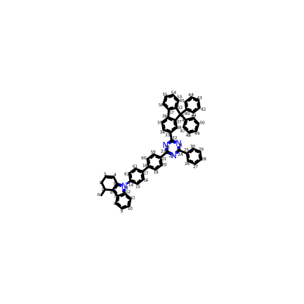 CC1CC=Cc2c1c1ccccc1n2-c1ccc(-c2ccc(-c3nc(-c4ccccc4)nc(-c4ccc5c(c4)C(c4ccccc4)(c4ccccc4)c4ccccc4-5)n3)cc2)cc1